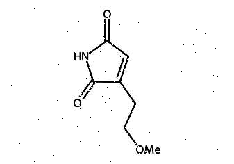 COCCC1=CC(=O)NC1=O